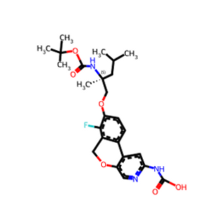 CC(C)C[C@@](C)(COc1ccc2c(c1F)COc1cnc(NC(=O)O)cc1-2)NC(=O)OC(C)(C)C